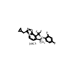 C[C@H](Oc1ccc(F)cc1F)c1ccn2c(CC3CC3)nnc2c1C(F)(F)F.Cl